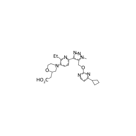 CCc1nc(-c2nnn(C)c2COc2nccc(C3CCC3)n2)ccc1N1CCOC(CC(=O)O)C1